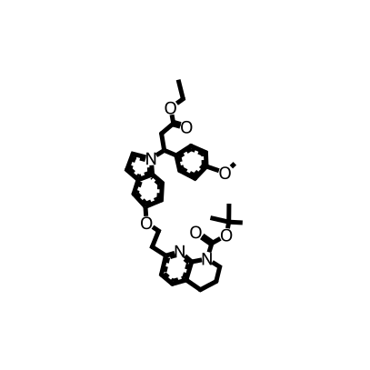 CCOC(=O)CC(c1ccc(OC)cc1)n1ccc2cc(OCCc3ccc4c(n3)N(C(=O)OC(C)(C)C)CCC4)ccc21